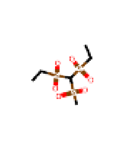 CCS(=O)(=O)C(S(C)(=O)=O)S(=O)(=O)CC